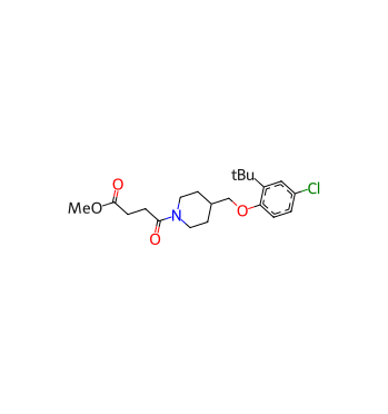 COC(=O)CCC(=O)N1CCC(COc2ccc(Cl)cc2C(C)(C)C)CC1